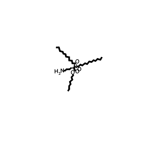 CCCCCCCCCCCC(=O)N(C(=O)CCCCCCCCCCC)[C@@H](CCCCN)C(=O)OCCCCCCCC